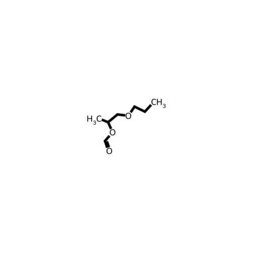 CCCOCC(C)OC=O